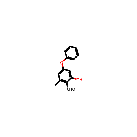 Cc1cc(Oc2ccccc2)cc(O)c1C=O